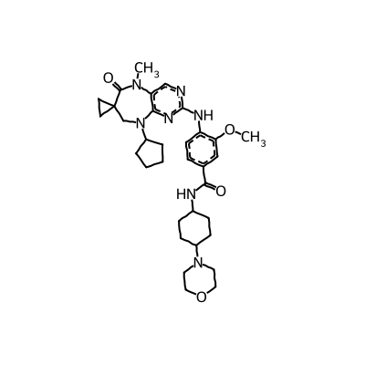 COc1cc(C(=O)NC2CCC(N3CCOCC3)CC2)ccc1Nc1ncc2c(n1)N(C1CCCC1)CC1(CC1)C(=O)N2C